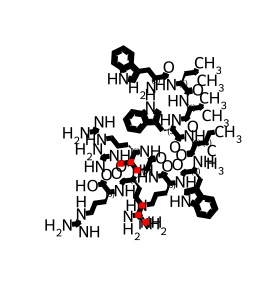 CC[C@H](C)[C@H](NC(=O)[C@H](Cc1c[nH]c2ccccc12)NC(=O)[C@@H](NC(=O)[C@H](CC(C)C)NC(=O)[C@@H](N)Cc1c[nH]c2ccccc12)C(C)C)C(=O)N[C@@H](Cc1c[nH]c2ccccc12)C(=O)N[C@@H](CCCNC(=N)N)C(=O)N[C@@H](CCCNC(=N)N)C(=O)N[C@@H](CCCNC(=N)N)C(=O)N[C@@H](CCCCN)C(=O)N[C@@H](CCCNC(=N)N)C(=O)O